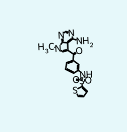 Cn1cc(C(=O)c2cccc(NS(=O)(=O)c3cccs3)c2)c2c(N)ncnc21